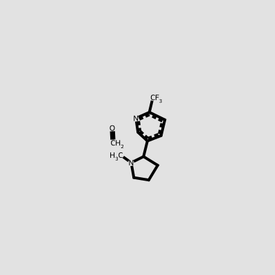 C=O.CN1CCCC1c1ccc(C(F)(F)F)nc1